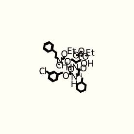 CCOP(=O)(OCC)C(O)C(COC(=O)N(C)CCc1ccccc1)NC(=O)[C@H](CC1CCCCC1)NC(=O)OCc1cccc(Cl)c1